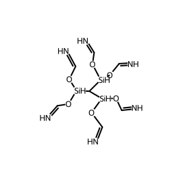 N=CO[SiH](OC=N)C([SiH](OC=N)OC=N)[SiH](OC=N)OC=N